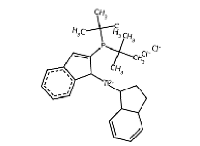 CC(C)(C)P(C1=Cc2ccccc2[CH]1[Ti+2][CH]1CCC2C=CC=CC21)C(C)(C)C.[Cl-].[Cl-]